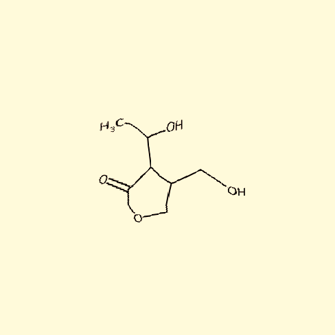 CC(O)C1C(=O)OCC1CO